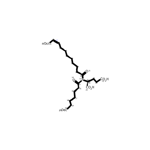 CCCCCCCC/C=C\CCCCCCCC(=O)N(C(=O)CCCCCCCCCCCCCCC)[C@@H](CCC(=O)O)C(=O)O